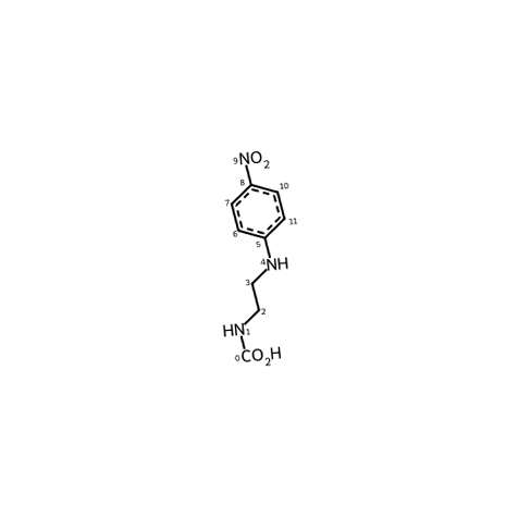 O=C(O)NCCNc1ccc([N+](=O)[O-])cc1